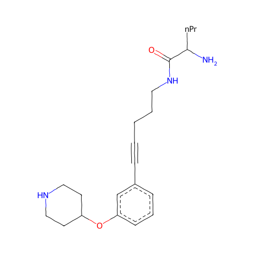 CCCC(N)C(=O)NCCCC#Cc1cccc(OC2CCNCC2)c1